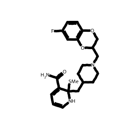 CSC1(CC2CCN(CC3COc4ccc(F)cc4O3)CC2)NC=CC=C1C(N)=O